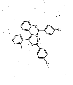 CCc1ccc(C(=O)OC(=C(OC(=O)c2ccc(CC)cc2)c2ccccc2C)c2ccccc2C)cc1